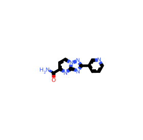 NC(=O)c1ccn2nc(-c3cccnc3)nc2n1